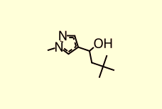 Cn1cc(C(O)CC(C)(C)C)cn1